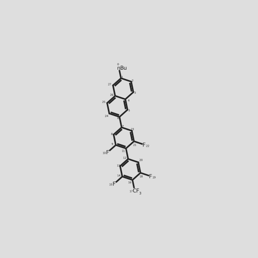 CCCCc1ccc2cc(-c3cc(F)c(-c4cc(F)c(C(F)(F)F)c(F)c4)c(F)c3)ccc2c1